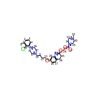 Cc1cccc(N2CCN(CCCCOc3ccc4c(c3)N=C(OCOC(=O)N3CCN(C)CC3)CC4)CC2)c1Cl